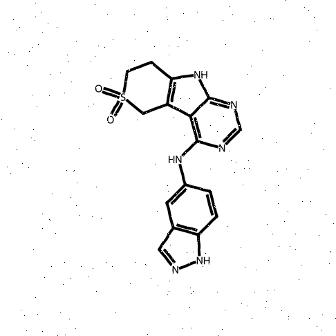 O=S1(=O)CCc2[nH]c3ncnc(Nc4ccc5[nH]ncc5c4)c3c2C1